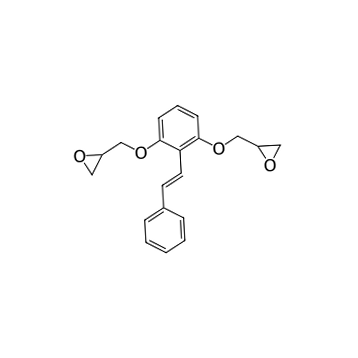 C(=Cc1c(OCC2CO2)cccc1OCC1CO1)c1ccccc1